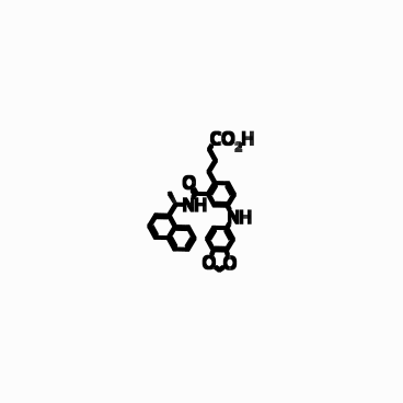 C[C@@H](NC(=O)c1cc(Nc2ccc3c(c2)OCO3)ccc1CCCC(=O)O)c1cccc2ccccc12